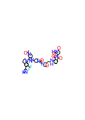 CC(=O)N1CCc2c(c(N3CCCc4cc(-c5cnn(C)c5)c(C(F)F)cc43)nn2C2CCN(C(=O)CN3CCOC(CCNc4cccc5c4C(=O)N(C4CCC(=O)NC4=O)C5=O)C3)CC2)C1